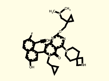 C#Cc1c(F)ccc2cc(O)cc(-c3c(F)c4nc(OCC5(CN(C)C)CC5)nc(N5CCC6(CC5)CNC6)c4c(=O)n3CC3CC3)c12